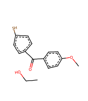 CCO.COc1ccc(C(=O)c2ccc(S)cc2)cc1